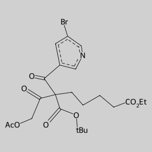 CCOC(=O)CCCCC(C(=O)COC(C)=O)(C(=O)OC(C)(C)C)C(=O)c1cncc(Br)c1